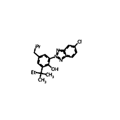 CCC(C)(C)c1cc(CC(C)C)cc(-n2nc3ccc(Cl)cc3n2)c1O